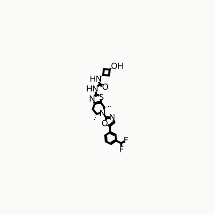 C[C@@H]1Cc2nc(NC(=O)N[C@H]3C[C@H](O)C3)sc2[C@H](C)N1c1ncc(-c2cccc(C(F)F)c2)o1